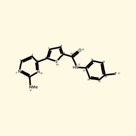 CNc1nccc(-c2ccc(C(=O)Nc3ccc(F)cc3)s2)n1